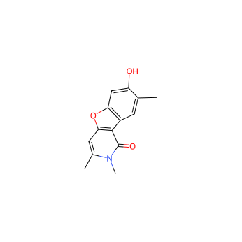 Cc1cc2c(cc1O)oc1cc(C)n(C)c(=O)c12